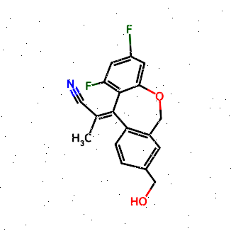 C/C(C#N)=C1\c2ccc(CO)cc2COc2cc(F)cc(F)c21